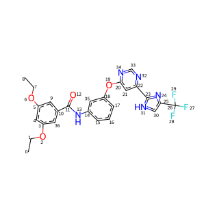 CCOc1cc(OCC)cc(C(=O)Nc2cccc(Oc3cc(-c4nc(C(F)(F)F)c[nH]4)ncn3)c2)c1